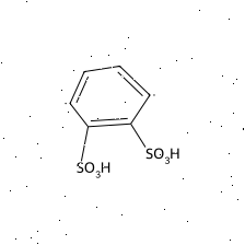 O=S(=O)(O)c1[c]cc[c]c1S(=O)(=O)O